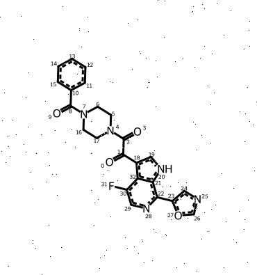 O=C(C(=O)N1CCN(C(=O)c2ccccc2)CC1)c1c[nH]c2c(-c3cnco3)ncc(F)c12